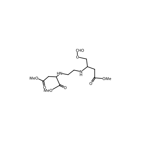 COC(=O)CC(COC=O)NCCNC(CC(=O)OC)C(=O)OC